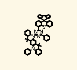 CC1(C)c2ccccc2N(c2ccccc2)c2cc3c(cc21)N(c1nc(-c2ccccc2)nc(-c2cccc4c2Sc2ccccc2C42c4ccccc4-c4ccccc42)n1)c1ccccc1C3(C)C